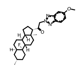 COc1ccc2nn(CC(=O)[C@H]3CC[C@H]4[C@@H]5CC[C@@H]6C[C@@H](C)CC[C@]6(F)[C@H]5CC[C@]34C)nc2c1